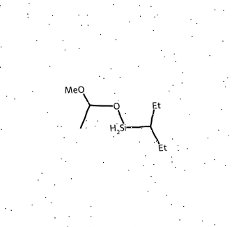 CCC(CC)[SiH2]OC(C)OC